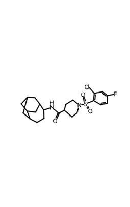 O=C(NC1CCC2CC3CC2CC1C3)C1CCN(S(=O)(=O)c2ccc(F)cc2Cl)CC1